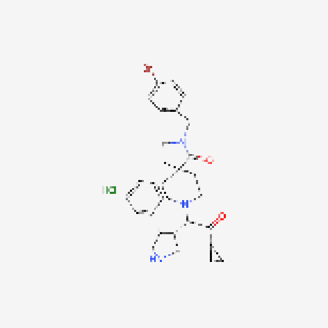 Cl.O=C(C1CC1)C([C@@H]1CNC[C@@H]1c1ccccc1)N1CCC2(CCN(Cc3ccc(Br)cc3)C2=O)CC1